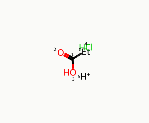 CCC(=O)O.Cl.[H+]